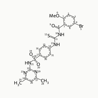 COc1ccc(Br)cc1C(=O)NC(=S)Nc1ccc(S(=O)(=O)Nc2nc(C)cc(C)n2)cc1